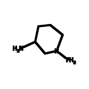 NC1CCCN(P)C1